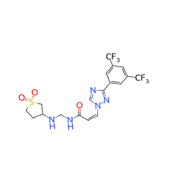 O=C(/C=C\n1cnc(-c2cc(C(F)(F)F)cc(C(F)(F)F)c2)n1)NCNC1CCS(=O)(=O)C1